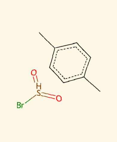 Cc1ccc(C)cc1.O=[SH](=O)Br